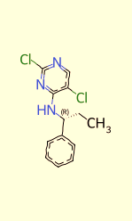 CC[C@@H](Nc1nc(Cl)ncc1Cl)c1ccccc1